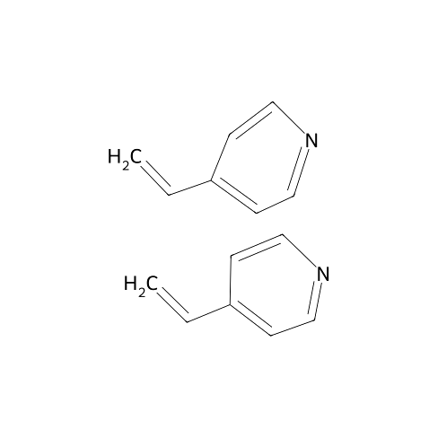 C=Cc1ccncc1.C=Cc1ccncc1